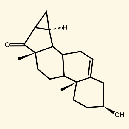 C[C@]12CC[C@H](O)CC1=CCC1C2CC[C@]2(C)C(=O)C3C[C@H]3C12